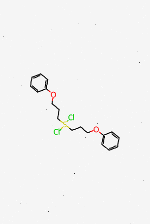 ClS(Cl)(CCCOc1ccccc1)CCCOc1ccccc1